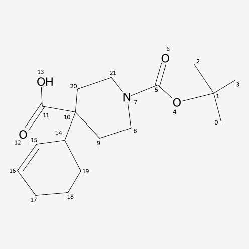 CC(C)(C)OC(=O)N1CCC(C(=O)O)(C2C=CCCC2)CC1